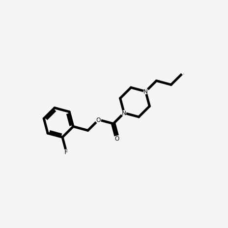 [CH2]CCN1CCN(C(=O)OCc2ccccc2F)CC1